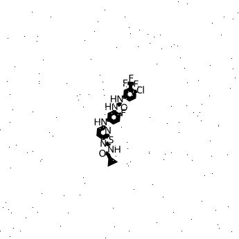 O=C(Nc1ccc(Cl)c(C(F)(F)F)c1)Nc1cc(Nc2ccc3nc(NC(=O)C4CC4)sc3n2)ccc1F